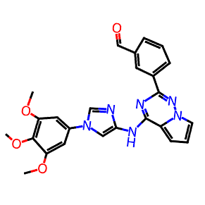 COc1cc(-n2cnc(Nc3nc(-c4cccc(C=O)c4)nn4cccc34)c2)cc(OC)c1OC